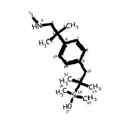 CC(C)(CNI)c1ccc(CC(C)(C)[Si](C)(C)O)cc1